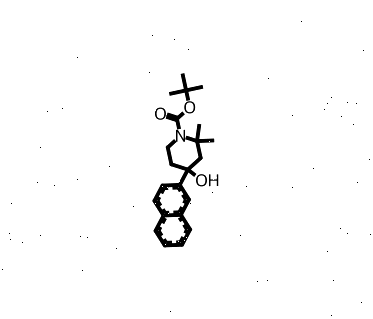 CC(C)(C)OC(=O)N1CCC(O)(c2ccc3ccccc3c2)CC1(C)C